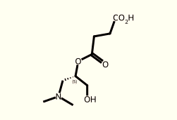 CN(C)C[C@@H](CO)OC(=O)CCC(=O)O